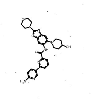 Nc1ccc(-c2cccc(C(=O)Nc3cc4oc(N5CCOCC5)nc4cc3N3CCC(O)CC3)n2)cn1